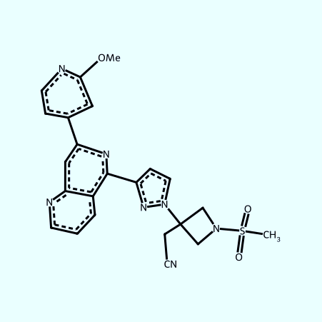 COc1cc(-c2cc3ncccc3c(-c3ccn(C4(CC#N)CN(S(C)(=O)=O)C4)n3)n2)ccn1